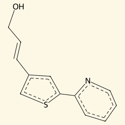 OCC=Cc1csc(-c2ccccn2)c1